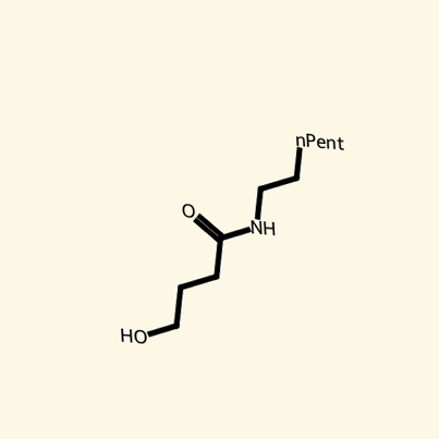 CCCCCCCNC(=O)CCCO